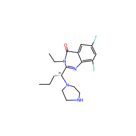 CCC[C@H](c1nc2c(F)cc(F)cc2c(=O)n1CC)N1CCNCC1